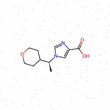 C[C@@H](C1CCOCC1)n1cnc(C(=O)O)c1